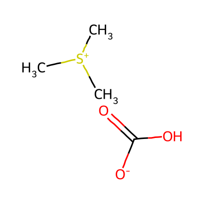 C[S+](C)C.O=C([O-])O